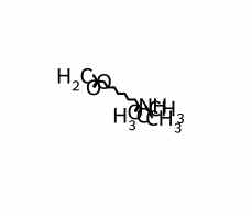 C=CC(=O)OCCCCCCC(=O)NC(C)(C)C